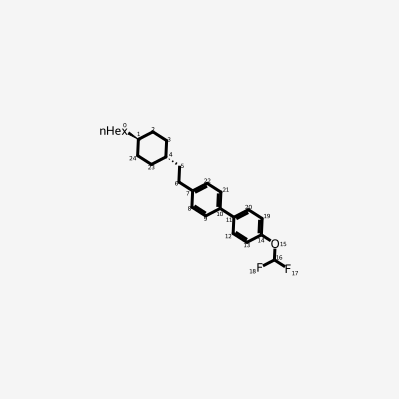 CCCCCC[C@H]1CC[C@H](CCc2ccc(-c3ccc(OC(F)F)cc3)cc2)CC1